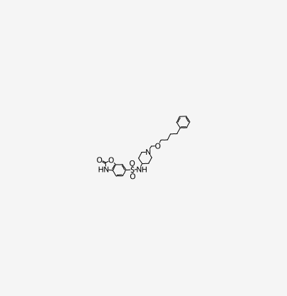 O=c1[nH]c2ccc(S(=O)(=O)NC3CCN(COCCCCc4ccccc4)CC3)cc2o1